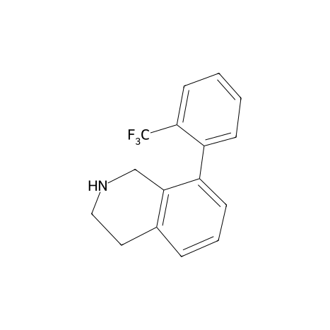 FC(F)(F)c1ccccc1-c1cccc2c1CNCC2